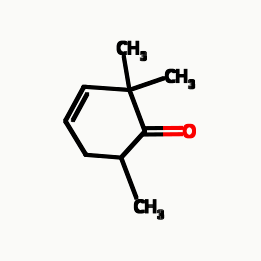 CC1CC=CC(C)(C)C1=O